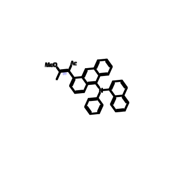 CO/C(C)=C(\C(C)=O)c1cccc2c(N(c3ccccc3)c3cccc4ccccc34)c3ccccc3cc12